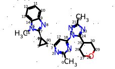 Cc1nc([C@@H]2C[C@H]2c2nc3ccccc3n2C)cc(-n2nc(C)nc2C2CCOCC2)n1